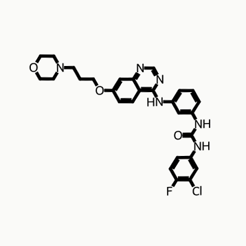 O=C(Nc1cccc(Nc2ncnc3cc(OCCCN4CCOCC4)ccc23)c1)Nc1ccc(F)c(Cl)c1